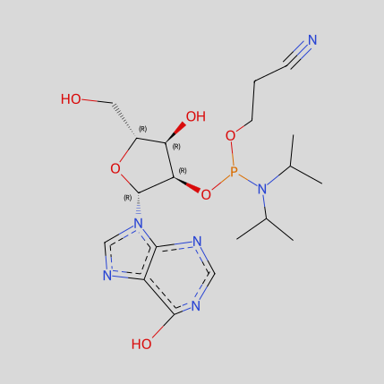 CC(C)N(C(C)C)P(OCCC#N)O[C@@H]1[C@H](O)[C@@H](CO)O[C@H]1n1cnc2c(O)ncnc21